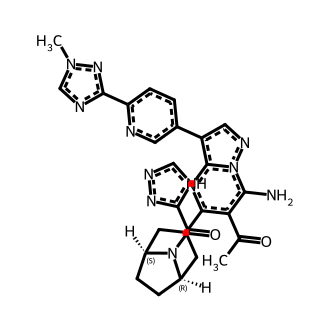 CC(=O)c1c(C2C[C@H]3CC[C@@H](C2)N3C(=O)c2nnc[nH]2)nc2c(-c3ccc(-c4ncn(C)n4)nc3)cnn2c1N